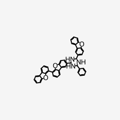 c1ccc(C2NC(c3ccc4oc5ccccc5c4c3)NC(c3ccc4oc5c(-c6cccc7c6oc6ccccc67)cccc5c4c3)N2)cc1